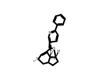 C[C@@H]1C=C2C(=O)O[C@@H]3CCC(C1)[C@]23OCc1ccc(-c2ccccc2)nc1